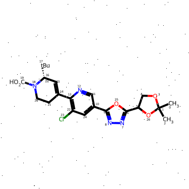 CC1(C)OCC(c2nnc(-c3cnc(C4=C[C@@H](C(C)(C)C)N(C(=O)O)CC4)c(Cl)c3)o2)O1